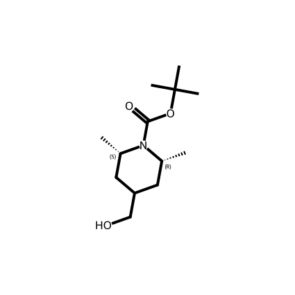 C[C@@H]1CC(CO)C[C@H](C)N1C(=O)OC(C)(C)C